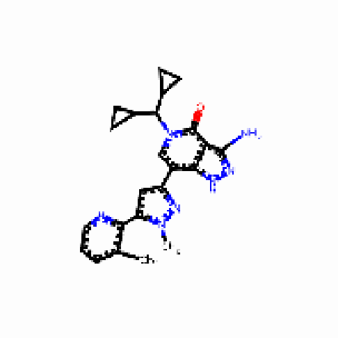 Cc1cccnc1-c1cc(-c2cn(C(C3CC3)C3CC3)c(=O)c3c(N)n[nH]c23)nn1C